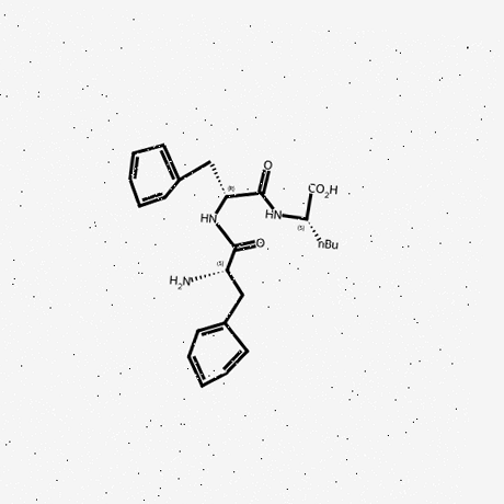 CCCC[C@H](NC(=O)[C@@H](Cc1ccccc1)NC(=O)[C@@H](N)Cc1ccccc1)C(=O)O